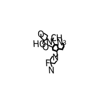 CC1c2c(cc(CN3CCC(F)(C#N)CC3)c3cccnc23)C(=O)N1C1CCOCC1O